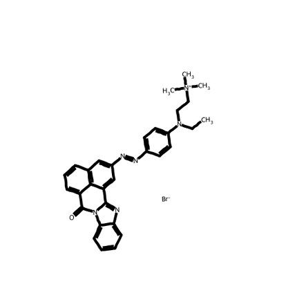 CCN(CC[N+](C)(C)C)c1ccc(N=Nc2cc3cccc4c(=O)n5c6ccccc6nc5c(c2)c34)cc1.[Br-]